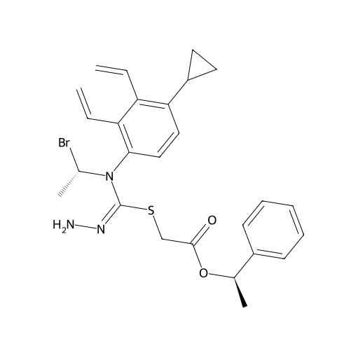 C=Cc1c(C2CC2)ccc(N(/C(=N\N)SCC(=O)O[C@H](C)c2ccccc2)[C@H](C)Br)c1C=C